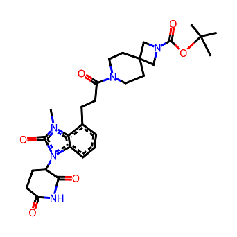 Cn1c(=O)n(C2CCC(=O)NC2=O)c2cccc(CCC(=O)N3CCC4(CC3)CN(C(=O)OC(C)(C)C)C4)c21